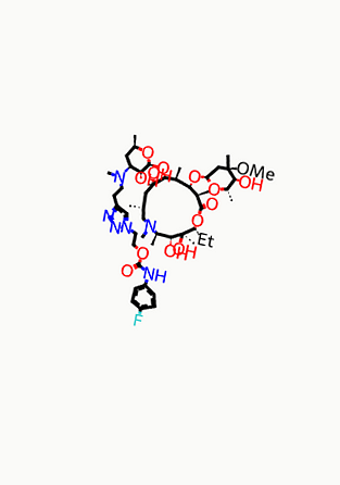 CC[C@H]1OC(=O)[C@H](C)[C@@H](O[C@H]2C[C@@](C)(OC)[C@@H](O)[C@H](C)O2)[C@H](C)[C@@H](O[C@@H]2O[C@H](C)C[C@H](N(C)CCc3cn(CCOC(=O)Nc4ccc(F)cc4)nn3)[C@H]2O)[C@](C)(O)C[C@@H](C)CN(C)[C@H](C)[C@@H](O)[C@]1(C)O